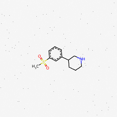 CS(=O)(=O)c1cccc(C2CCCNC2)c1